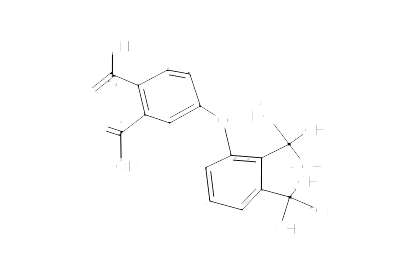 CC(C)(C)c1cccc(Oc2ccc(C(=O)O)c(C(=O)O)c2)c1C(C)(C)C